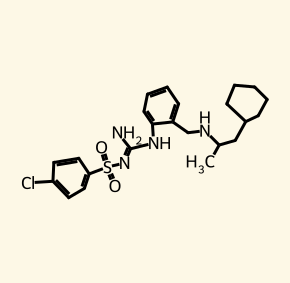 CC(CC1CCCCC1)NCc1ccccc1N/C(N)=N/S(=O)(=O)c1ccc(Cl)cc1